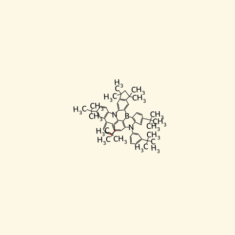 CC(C)(C)c1cccc(N2c3cc(C(C)(C)C)ccc3B3c4cc5c(cc4N(c4ccc(C(C)(C)C)cc4-c4ccccc4)c4cc(C(C)(C)C)cc2c43)C(C)(C)CC5(C)C)c1